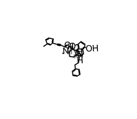 Cc1cccc(C#CC(=O)N(C)[C@@H]2CC[C@H]3[C@H]4Cc5c(O)ccc6c5[C@@]3(CCN4CCc3ccccc3)[C@H]2O6)c1